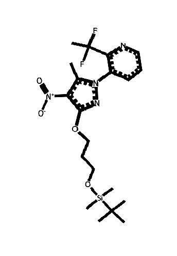 Cc1c([N+](=O)[O-])c(OCCCO[Si](C)(C)C(C)(C)C)nn1-c1cccnc1C(C)(F)F